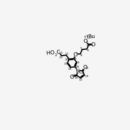 CC(C)(C)OC(=O)CCCOc1cc(N2C(=O)C=CC2=O)ccc1CCC(=O)O